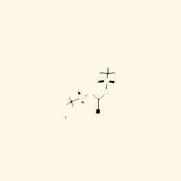 N#CC(NS(=O)(=O)C(F)(F)F)NS(=O)(=O)C(F)(F)F.[LiH]